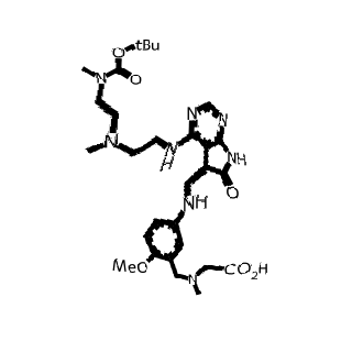 COc1ccc(N/C=C2\C(=O)Nc3ncnc(NCCN(C)CCN(C)C(=O)OC(C)(C)C)c32)cc1CN(C)CC(=O)O